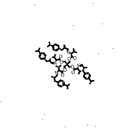 CC(C=NC(C(=O)OCC(COC(=O)C(N=CC(C)Cc1ccc(C(C)C)cc1)C(C)C)(COC(=O)C(/N=C\C(C)Cc1ccc(C(C)C)cc1)C(C)C)COC(=O)C(/N=C\C(C)Cc1ccc(C(C)C)cc1)C(C)C)C(C)C)Cc1ccc(C(C)C)cc1